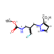 CC(C)(C)OC(=O)NCC(=CF)Cn1nccc1C(=O)O